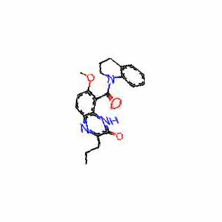 CCCc1nc2ccc(OC)c(C(=O)N3CCCc4ccccc43)c2[nH]c1=O